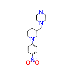 CN1CCN(CC2CCCN(c3ccc([N+](=O)[O-])cc3)C2)CC1